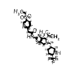 CCS(=O)(=O)c1ccc(CC(=O)Nc2nc3c(s2)CN(C[C@H]2CC[C@H](C(F)(F)F)NC2)[C@H]3C(C)C)nc1